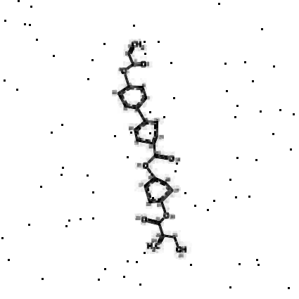 C=CC(=O)Oc1ccc(-c2ccc(C(=O)Oc3ccc(OC(=O)C(=C)CO)cc3)cc2)cc1